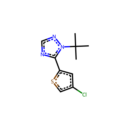 CC(C)(C)n1ncnc1-c1cc(Cl)cs1